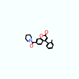 Cc1ccccc1-c1cc(=O)oc2cc(C(=O)N3CCCCC3)ccc12